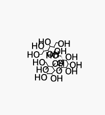 OC[C@@H](O)[C@@H](O[C@H]1O[C@H](CO)[C@@H](O)[C@H](O)[C@H]1O)[C@H](O)[C@@H](O)CO.OC[C@@H](O)[C@H](O)[C@H](O)[C@@H](O)CO